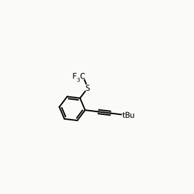 CC(C)(C)C#Cc1ccccc1SC(F)(F)F